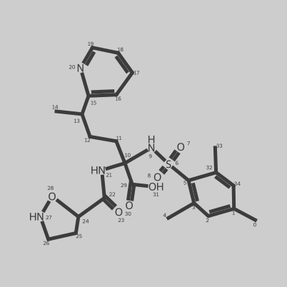 Cc1cc(C)c(S(=O)(=O)NC(CCC(C)c2ccccn2)(NC(=O)C2CCNO2)C(=O)O)c(C)c1